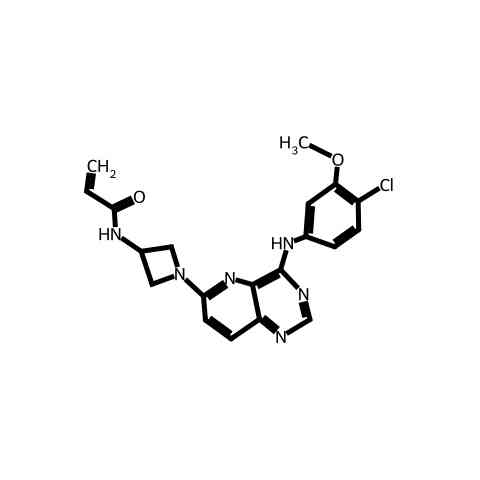 C=CC(=O)NC1CN(c2ccc3ncnc(Nc4ccc(Cl)c(OC)c4)c3n2)C1